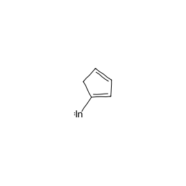 [In][C]1=CC=CC1